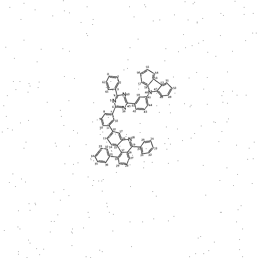 c1ccc(-c2nc(-c3cccc(-c4ccc5c(c4)nc(-c4ccccc4)c4cccc(-c6ccccc6)c45)c3)nc(-c3cccc(-n4c5ccccc5c5ccccc54)c3)n2)cc1